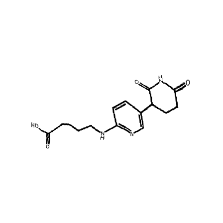 O=C(O)CCCNc1ccc(C2CCC(=O)NC2=O)cn1